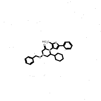 O=C(O)c1sc(-c2ccccc2)cc1N1C(=O)CN(SCc2ccccc2)CC1C1CCCCC1